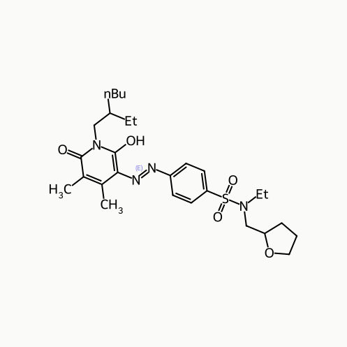 CCCCC(CC)Cn1c(O)c(/N=N/c2ccc(S(=O)(=O)N(CC)CC3CCCO3)cc2)c(C)c(C)c1=O